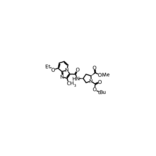 CCOc1cccn2c(C(=O)N[C@H]3C[C@@H](C(=O)OC)N(C(=O)OC(C)(C)C)C3)c(C)nc12